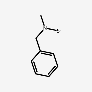 CN([S])Cc1ccccc1